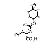 CC(C)C[C@H](NC(=O)OC1CCC(C(C)C)CC1)C(=O)O